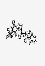 O=C(NC(=O)c1c(F)cccc1F)Nc1cc(Cl)cc(C(F)(F)F)c1F